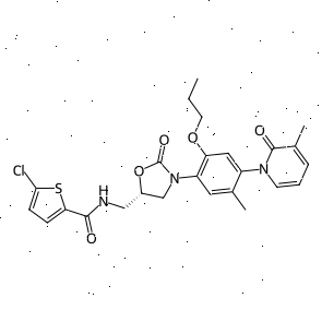 CCCOc1cc(-n2cccc(C)c2=O)c(C)cc1N1C[C@H](CNC(=O)c2ccc(Cl)s2)OC1=O